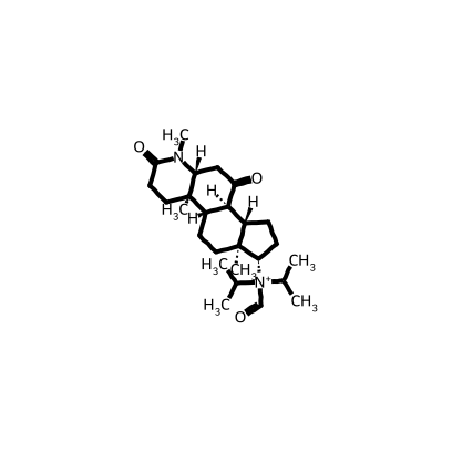 CC(C)[N+](C=O)(C(C)C)[C@H]1CC[C@H]2[C@@H]3C(=O)C[C@H]4N(C)C(=O)CC[C@]4(C)[C@H]3CC[C@@]21C